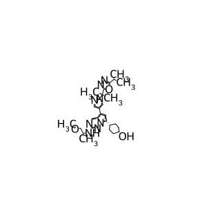 COC[C@H](C)Nc1ncc2c(-c3cnn(C(C)(C)c4nnc(C(C)C)o4)c3)cc([C@H]3CC[C@H](O)CC3)n2n1